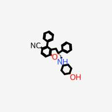 N#Cc1ccc2c(c1-c1ccccc1)C[C@@](CN[C@H]1CC[C@H](O)CC1)(c1ccccc1)O2